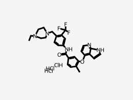 CCN1CCN(Cc2ccc(NC(=O)c3ccc(C)c(Oc4ccnc5[nH]ccc45)c3)cc2C(F)(F)F)CC1.Cl.Cl.Cl